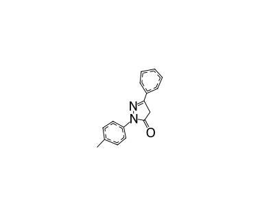 Cc1ccc(N2N=C(c3ccccc3)CC2=O)cc1